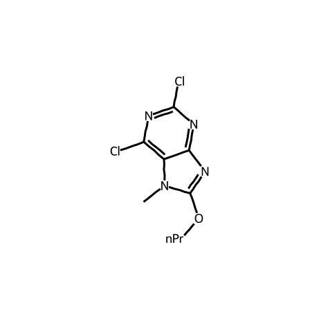 CCCOc1nc2nc(Cl)nc(Cl)c2n1C